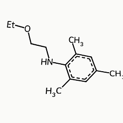 [CH2]COCCNc1c(C)cc(C)cc1C